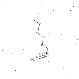 CCCCCC.Cl.Cl.Cl.[B]